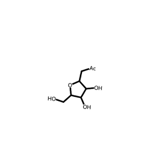 CC(=O)CC1OC(CO)C(O)C1O